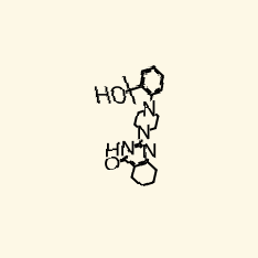 CC(C)(O)c1ccccc1N1CCN(c2nc3c(c(=O)[nH]2)CCCC3)CC1